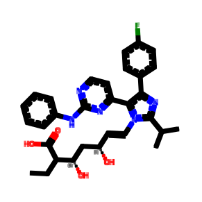 CCC(C(=O)O)[C@@H](O)C[C@@H](O)C=Cn1c(C(C)C)nc(-c2ccc(F)cc2)c1-c1ccnc(Nc2ccccc2)n1